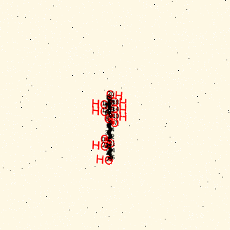 O=C(CCCCC(=O)OC(O)[C@H](O)[C@@H](O)[C@H](O)[C@H](O)CO)OC(O)CCCO